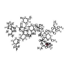 Cc1cc(CC(=O)OC(C)(C)C)c(C(C)(C)CC(=O)N(c2nn(C)c3c(-n4c([C@H](Cc5cc(F)cc(F)c5)NC(=O)Cn5nc(C(F)F)c6c5C(F)(F)[C@@H]5C[C@H]65)nc5cc(-c6cccc(C(F)(F)F)n6)ccc5c4=O)ccc(Cl)c23)S(C)(=O)=O)c(OP(=O)(OC(C)(C)C)OC(C)(C)C)c1